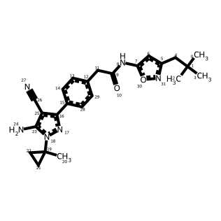 CC(C)(C)Cc1cc(NC(=O)Cc2ccc(-c3nn(C4(C)CC4)c(N)c3C#N)cc2)on1